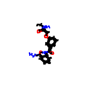 CC(C)NC(=O)COc1cccc(C(=O)Nc2ccccc2C(N)=O)c1